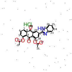 CC(=O)Oc1cccc2c1C(=O)c1c(OC(C)=O)cc(-c3nc4ccccc4[nH]3)cc1C2=O.Cl